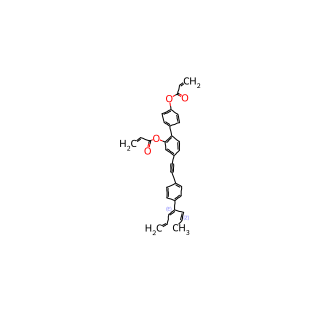 C=C/C=C(\C=C/C)c1ccc(C#Cc2ccc(-c3ccc(OC(=O)C=C)cc3)c(OC(=O)C=C)c2)cc1